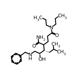 CCCN(CCC)C(=O)CCC(C(N)=O)[C@H](CC(C)C)[C@@H](O)CNCc1ccccc1